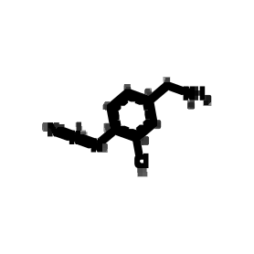 [N-]=[N+]=Nc1ccc(CN)cc1Cl